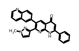 Cn1ccc(-c2nc3[nH]c(-c4ccccc4)cc(=O)c3cc2-c2ccc3ncccc3c2)n1